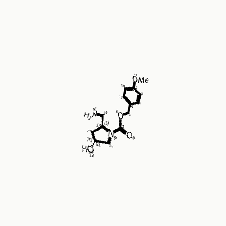 COc1ccc(COC(=O)N2C[C@H](O)C[C@H]2CN)cc1